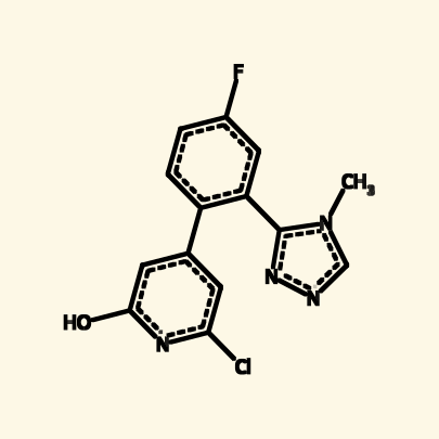 Cn1cnnc1-c1cc(F)ccc1-c1cc(O)nc(Cl)c1